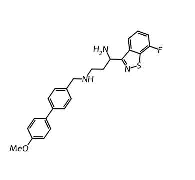 COc1ccc(-c2ccc(CNCCC(N)c3nsc4c(F)cccc34)cc2)cc1